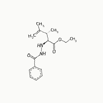 C=C(C)[C@H](C)[C@H](NNC(=O)c1ccccc1)C(=O)OCC